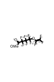 COC(=O)C(F)(F)C(F)(F)C(F)(F)OC(F)=C(F)F